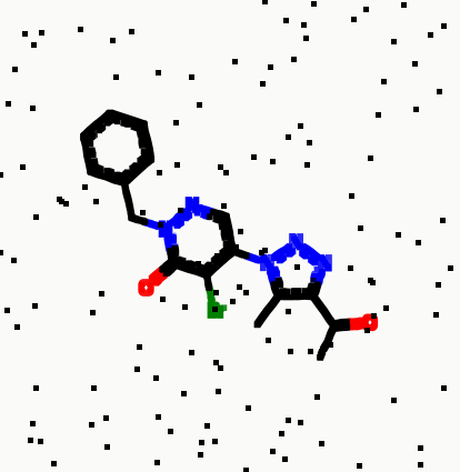 CC(=O)c1nnn(-c2cnn(Cc3ccccc3)c(=O)c2Br)c1C